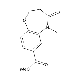 COC(=O)c1ccc2c(c1)N(C)C(=O)CCO2